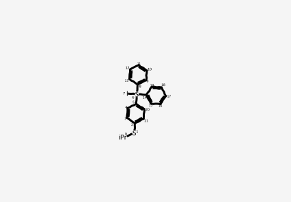 CC(C)Sc1ccc(S(I)(c2ccccc2)c2ccccc2)cc1